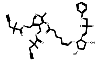 C#CCC(C)(C)C(=O)OCc1cnc(C)c(OC(=O)CCC/C=C\C[C@@H]2[C@@H](/C=C/C(F)(F)COc3ccccc3)[C@H](O)C[C@@H]2O)c1COC(=O)C(C)(C)CC#C